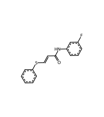 O=C(C=CSc1ccccc1)Nc1cccc(F)c1